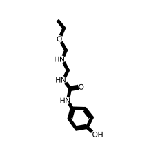 CCOCNCNC(=O)Nc1ccc(O)cc1